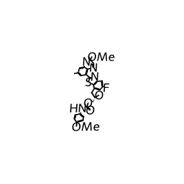 COc1ccc(NC(=O)OC[C@@H]2Cc3c(c(F)cc4nc(-c5cc(C)cc6nc(OC)cnc56)sc34)O2)cc1